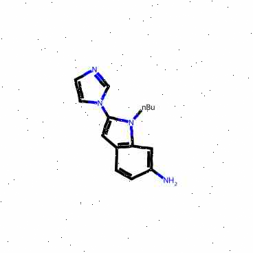 CCCCn1c(-n2ccnc2)cc2ccc(N)cc21